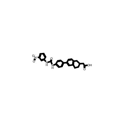 O=C(O)CC1CCc2cc(-c3ccc(NC(=O)Nc4cccc([N+](=O)[O-])c4)cc3)ccc2C1